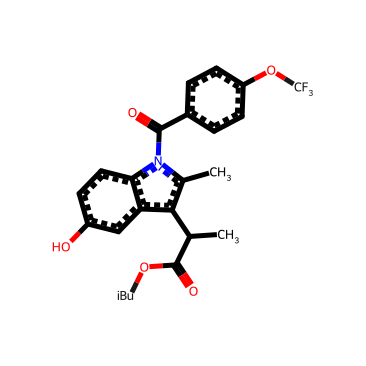 CCC(C)OC(=O)C(C)c1c(C)n(C(=O)c2ccc(OC(F)(F)F)cc2)c2ccc(O)cc12